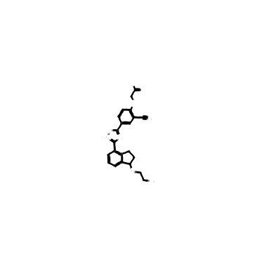 N#Cc1cc(-c2nc(-c3cccc4c3CCC4NCCO)no2)ccc1OCC(=O)O